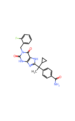 CC(c1ccc(C(N)=O)cc1)(c1nc2[nH]c(=O)n(Cc3ccccc3F)c(=O)c2[nH]1)C1CC1